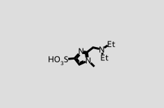 CCN(CC)Cc1nc(S(=O)(=O)O)cn1C